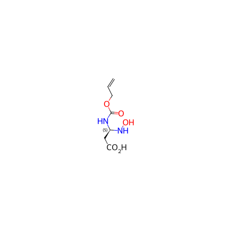 C=CCOC(=O)N[C@H](CC(=O)O)NO